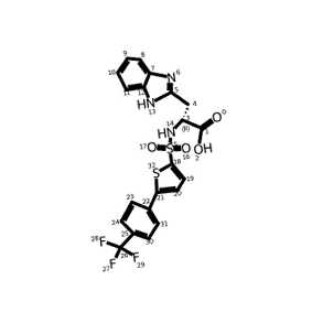 O=C(O)[C@@H](Cc1nc2ccccc2[nH]1)NS(=O)(=O)c1ccc(-c2ccc(C(F)(F)F)cc2)s1